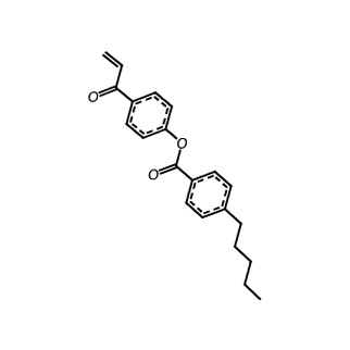 C=CC(=O)c1ccc(OC(=O)c2ccc(CCCCC)cc2)cc1